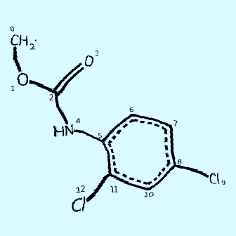 [CH2]OC(=O)Nc1ccc(Cl)cc1Cl